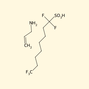 C=CCN.O=S(=O)(O)C(F)(F)CCCCCCC(F)(F)F